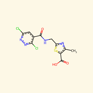 Cc1nc(CNC(=O)c2cc(Cl)nnc2Cl)sc1C(=O)O